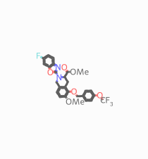 COC(=O)C1Cc2c(ccc(OC)c2OCc2ccc(OC(F)(F)F)cc2)CN1c1nc2ccc(F)cc2o1